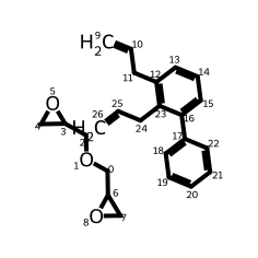 C(OCC1CO1)C1CO1.C=CCc1cccc(-c2ccccc2)c1CC=C